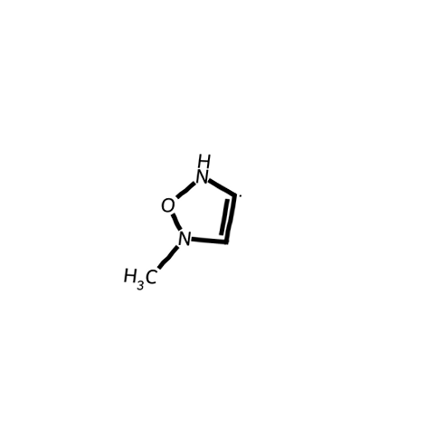 CN1C=[C]NO1